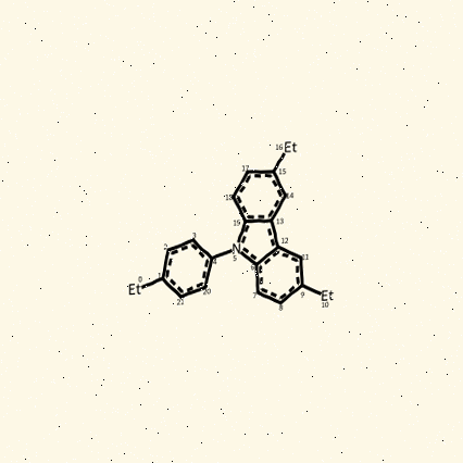 CCc1ccc(-n2c3ccc(CC)cc3c3cc(CC)ccc32)cc1